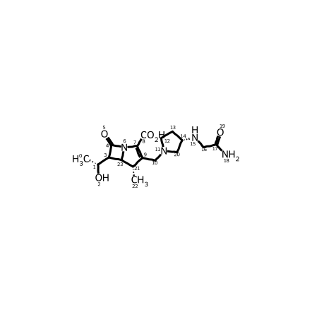 C[C@@H](O)C1C(=O)N2C(C(=O)O)=C(CN3CC[C@H](NCC(N)=O)C3)[C@H](C)C12